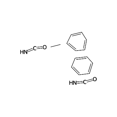 CC.N=C=O.N=C=O.c1ccccc1.c1ccccc1